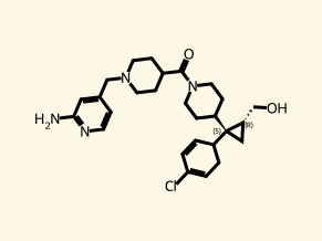 Nc1cc(CN2CCC(C(=O)N3CCC([C@]4(C5C=CC(Cl)=CC5)C[C@H]4CO)CC3)CC2)ccn1